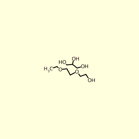 CCOCCOCCO.OCC(O)CO